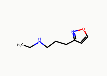 CCNCCCc1ccon1